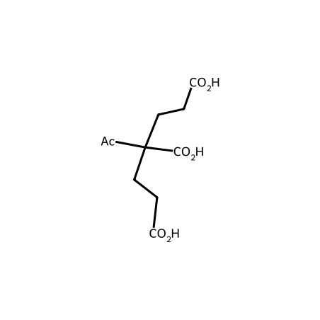 CC(=O)C(CCC(=O)O)(CCC(=O)O)C(=O)O